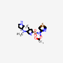 Cc1cc(S(=O)(=O)N(OC(=O)C(F)(F)F)c2cscn2)ncc1N(C)[C@H]1CCNC1